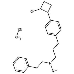 CC#N.CCCN(CCCc1ccc(C2CCC2Cl)cc1)CCc1ccccc1